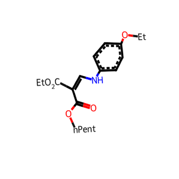 CCCCCOC(=O)/C(=C\Nc1ccc(OCC)cc1)C(=O)OCC